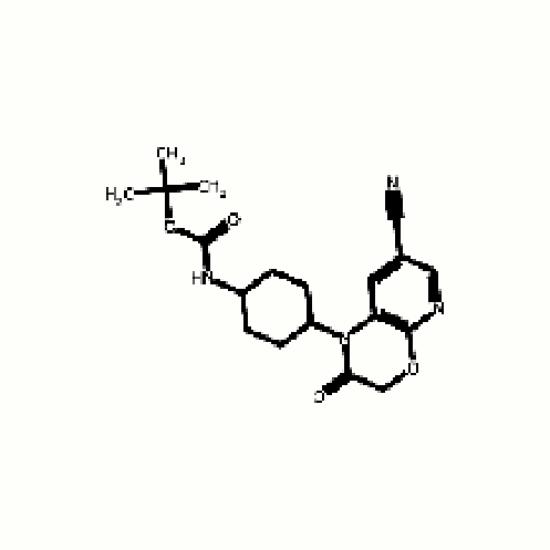 CC(C)(C)OC(=O)NC1CCC(N2C(=O)COc3ncc(C#N)cc32)CC1